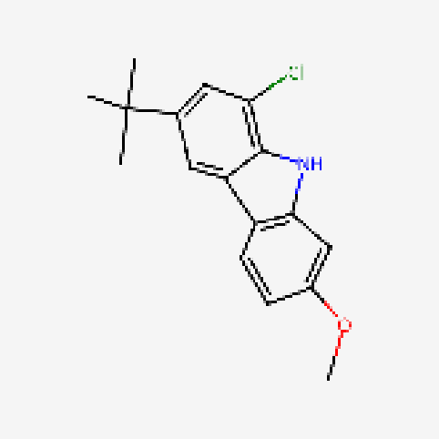 COc1ccc2c(c1)[nH]c1c(Cl)cc(C(C)(C)C)cc12